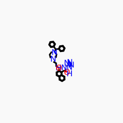 O=C(Nc1nnn[nH]1)c1c(OCCCN2CCCN(C(c3ccccc3)c3ccccc3)CC2)ccc2ccccc12